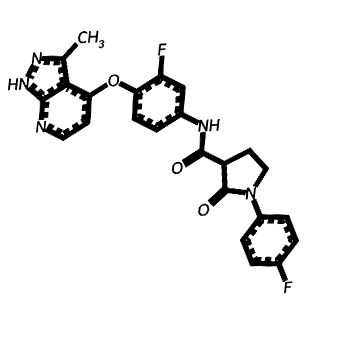 Cc1n[nH]c2nccc(Oc3ccc(NC(=O)C4CCN(c5ccc(F)cc5)C4=O)cc3F)c12